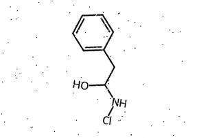 OC(Cc1ccccc1)NCl